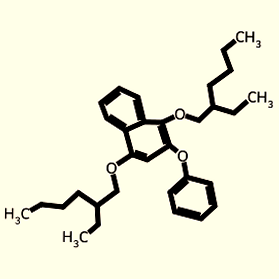 CCCCC(CC)COc1cc(Oc2ccccc2)c(OCC(CC)CCCC)c2ccccc12